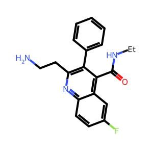 CCNC(=O)c1c(-c2ccccc2)c(CCN)nc2ccc(F)cc12